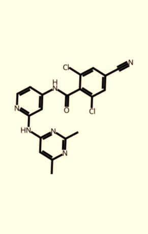 Cc1cc(Nc2cc(NC(=O)c3c(Cl)cc(C#N)cc3Cl)ccn2)nc(C)n1